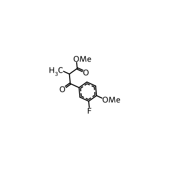 COC(=O)C(C)C(=O)c1ccc(OC)c(F)c1